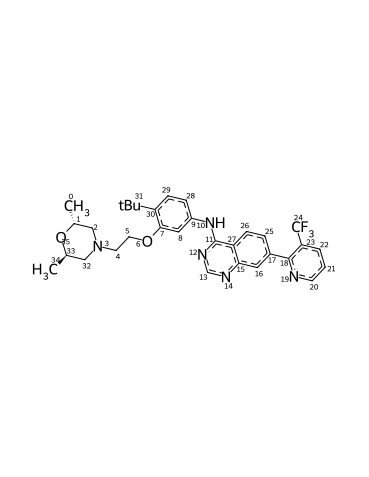 C[C@@H]1CN(CCOc2cc(Nc3ncnc4cc(-c5ncccc5C(F)(F)F)ccc34)ccc2C(C)(C)C)C[C@@H](C)O1